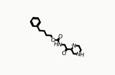 O=C(NCC(=O)C1CNCC[N]1)OCCCCc1ccccc1